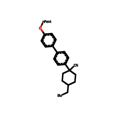 CCCCCOc1ccc(-c2ccc(C3(C#N)CCC(CC(C)CC)CC3)cc2)cc1